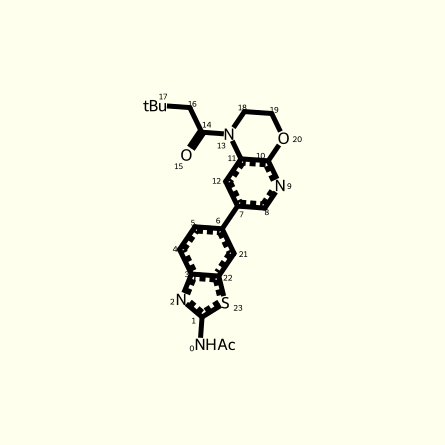 CC(=O)Nc1nc2ccc(-c3cnc4c(c3)N(C(=O)CC(C)(C)C)CCO4)cc2s1